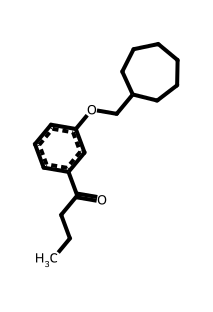 CCCC(=O)c1cccc(OCC2CCCCCC2)c1